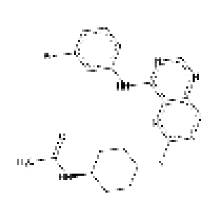 CC(=O)N[C@H]1CC[C@H](Nc2ncc3ncnc(Nc4cccc(Br)c4)c3n2)CC1